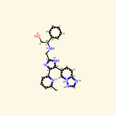 Cc1cccc(-c2nc(CN[C@@H](CO)c3ccccc3)[nH]c2-c2ccc3ncnn3c2)n1